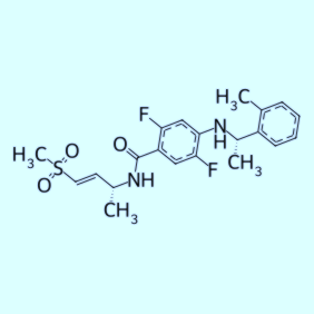 Cc1ccccc1[C@H](C)Nc1cc(F)c(C(=O)N[C@H](C)/C=C/S(C)(=O)=O)cc1F